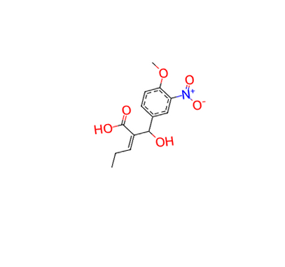 CCC=C(C(=O)O)C(O)c1ccc(OC)c([N+](=O)[O-])c1